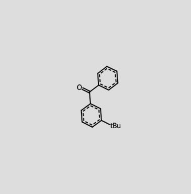 CC(C)(C)c1cccc(C(=O)c2ccccc2)c1